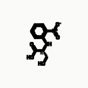 O=C(O)[C@@H](CO)Nc1ccccc1[N+](=O)[O-]